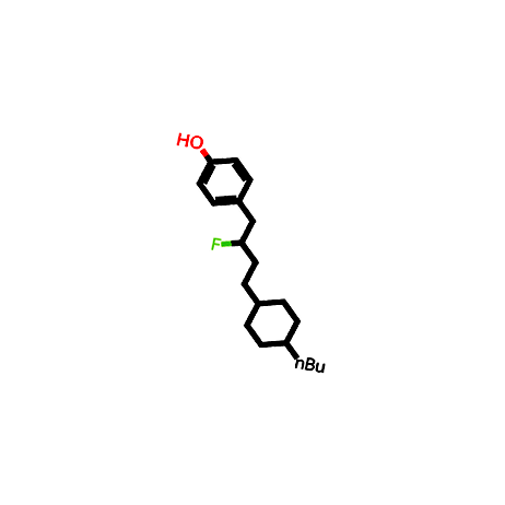 CCCCC1CCC(CCC(F)Cc2ccc(O)cc2)CC1